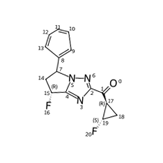 O=C(c1nc2n(n1)C(c1ccccc1)C[C@H]2F)[C@H]1C[C@@H]1F